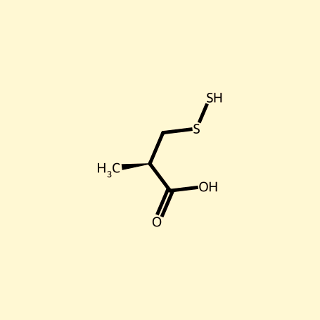 C[C@@H](CSS)C(=O)O